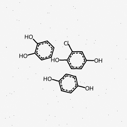 Oc1ccc(O)c(Cl)c1.Oc1ccc(O)cc1.Oc1ccccc1O